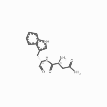 NC(=O)C[C@H](N)C(=O)N[C@H]([C]=O)Cc1c[nH]c2ccccc12